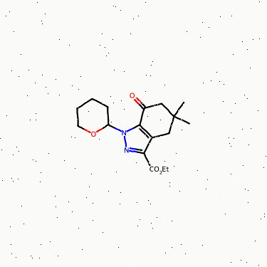 CCOC(=O)c1nn(C2CCCCO2)c2c1CC(C)(C)CC2=O